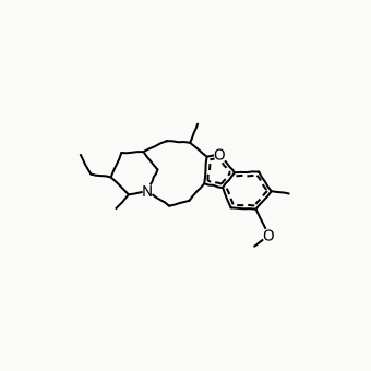 CCC1CC2CC(C)c3oc4cc(C)c(OC)cc4c3CCN(C2)C1C